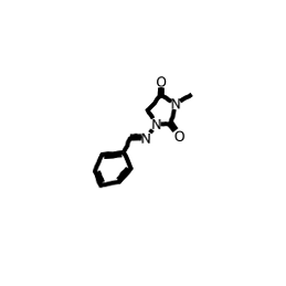 CN1C(=O)CN(/N=C/c2ccccc2)C1=O